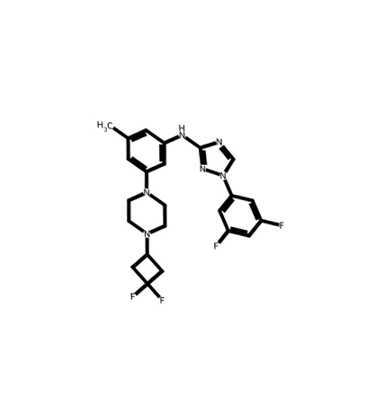 Cc1cc(Nc2ncn(-c3cc(F)cc(F)c3)n2)cc(N2CCN(C3CC(F)(F)C3)CC2)c1